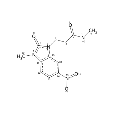 CNC(=O)CCn1c(=O)n(C)c2ccc([N+](=O)[O-])cc21